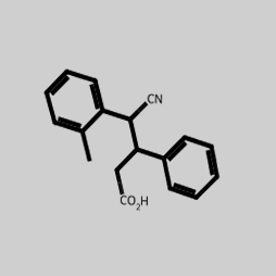 Cc1ccccc1C(C#N)C(CC(=O)O)c1ccccc1